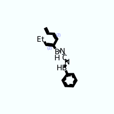 C=C/C=C\C(BN=C=NBc1ccccc1)=C/CC